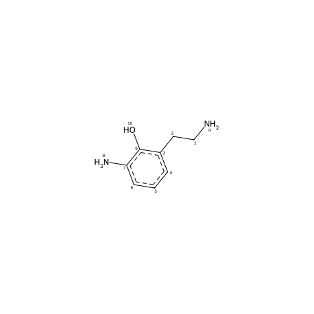 NCCc1cccc(N)c1O